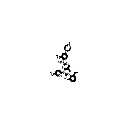 CCc1cccc(C)c1N1Cc2cnc(Nc3ccc(N4CCN(C)CC4)cc3OC)nc2N(c2ccc(OC)cn2)C1=O